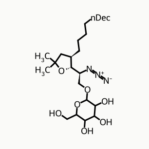 CCCCCCCCCCCCCC[C@@H]1CC(C)(C)O[C@H]1[C@H](COC1OC(CO)C(O)C(O)C1O)N=[N+]=[N-]